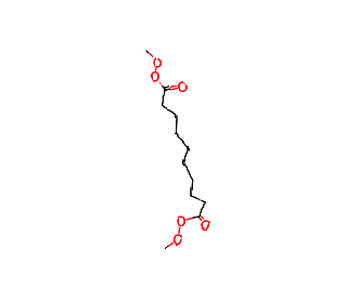 COOC(=O)CCCCCCCCC(=O)OOC